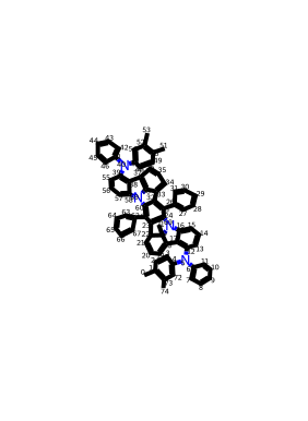 Cc1ccc(N(c2ccccc2)c2cccc3c2C2=CC=CC4c5c(c(-c6ccccc6)c6c7cccc8c9c(N(c%10ccccc%10)c%10ccc(C)c(C)c%10)cccc9n(c6c5-c5ccccc5)c87)N3C24C)cc1C